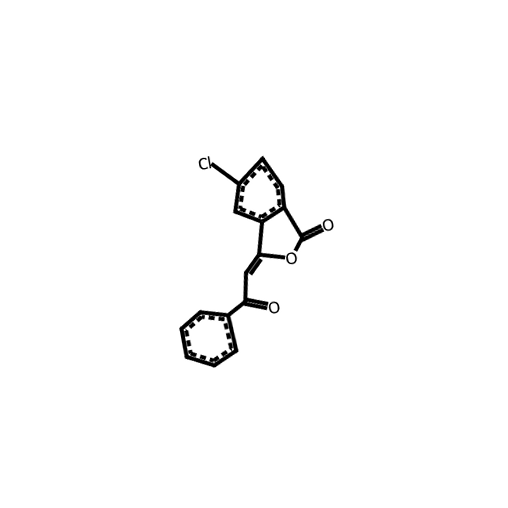 O=C(C=C1OC(=O)c2ccc(Cl)cc21)c1ccccc1